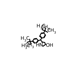 CCC(CC)(CC)c1ccc(C(c2ccc(C(CC)(CC)CC)cc2)C2C[C@@H](O)CN2)cc1